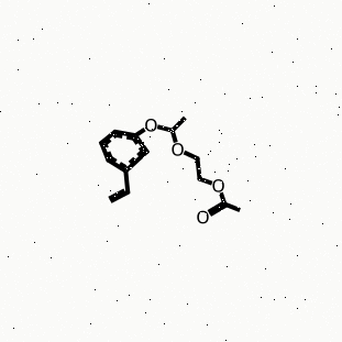 C=Cc1cccc(OC(C)OCCOC(C)=O)c1